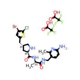 Cc1nc(N)ccc1CNC(=O)[C@H](C)NC(=O)[C@H]1C[C@H](Cc2cc(Br)c(Cl)s2)CN1.O=C(O)C(F)(F)F.O=C(O)C(F)(F)F